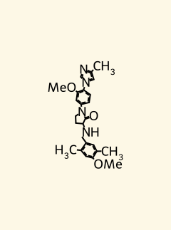 COc1cc(C)c(CNC2CCN(c3ccc(-n4cnc(C)c4)c(OC)c3)C2=O)cc1C